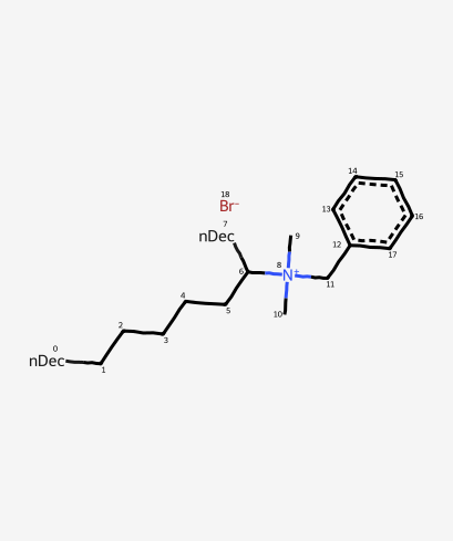 CCCCCCCCCCCCCCCC(CCCCCCCCCC)[N+](C)(C)Cc1ccccc1.[Br-]